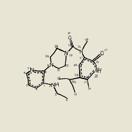 CCNc1cccnc1N1CCN(C(=O)N(C)c2cc(C(C)C)c(C)[nH]c2=O)CC1